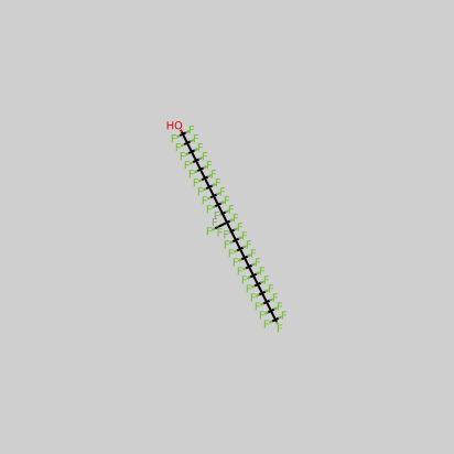 OC(F)(F)C(F)(F)C(F)(F)C(F)(F)C(F)(F)C(F)(F)C(F)(F)C(F)(F)C(F)(F)C(F)(F)C(F)(C(F)(F)F)C(F)(F)C(F)(F)C(F)(F)C(F)(F)C(F)(F)C(F)(F)C(F)(F)C(F)(F)C(F)(F)C(F)(F)C(F)(F)F